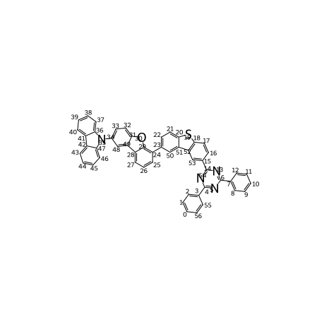 c1ccc(-c2nc(-c3ccccc3)nc(-c3ccc4sc5ccc(-c6cccc7c6oc6ccc(-n8c9ccccc9c9ccccc98)cc67)cc5c4c3)n2)cc1